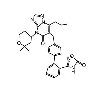 CCCc1c(Cc2ccc(-c3ccccc3-c3noc(=O)[nH]3)cc2)c(=O)n(C2CCOC(C)(C)C2)c2ncnn12